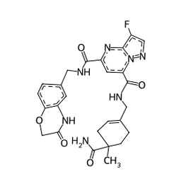 CC1(C(N)=O)CC=C(CNC(=O)c2cc(C(=O)NCc3ccc4c(c3)NC(=O)CO4)nc3c(F)cnn23)CC1